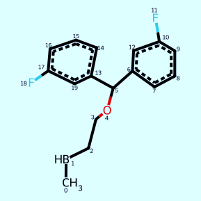 CBCCOC(c1cccc(F)c1)c1cccc(F)c1